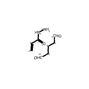 C=CC(=O)NN.O=CCCCC=O